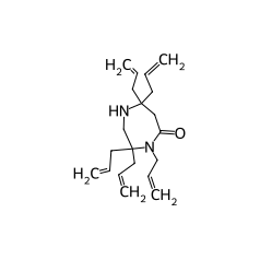 C=CCN1C(=O)CC(CC=C)(CC=C)NCC1(CC=C)CC=C